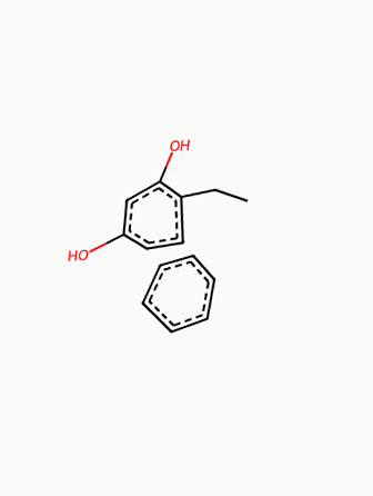 CCc1ccc(O)cc1O.c1ccccc1